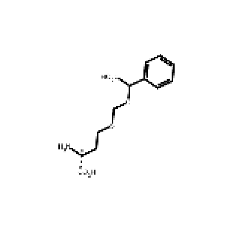 N[C@H](CCSCOC(C(=O)O)c1ccccc1)C(=O)O